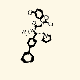 CN(C(=O)Cn1c(=O)oc2ccc(Cl)cc21)[C@H](CN1CCCC1)c1ccc(-c2ccccc2)cc1